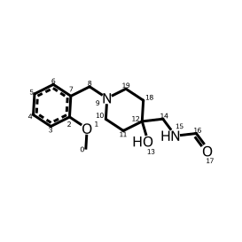 COc1ccccc1CN1CCC(O)(CNC=O)CC1